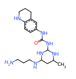 CC1CC(NCCCN)NC(NC(=O)Nc2ccc3c(c2)CCCN3)N1